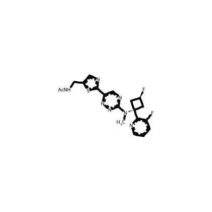 CC(=O)NCc1cnc(-c2cnc(N(C)[C@]3(c4ncccc4F)C[C@@H](F)C3)nn2)s1